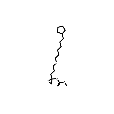 COC(=O)OC1(CCCOCCCCCCC2CCCC2)CO1